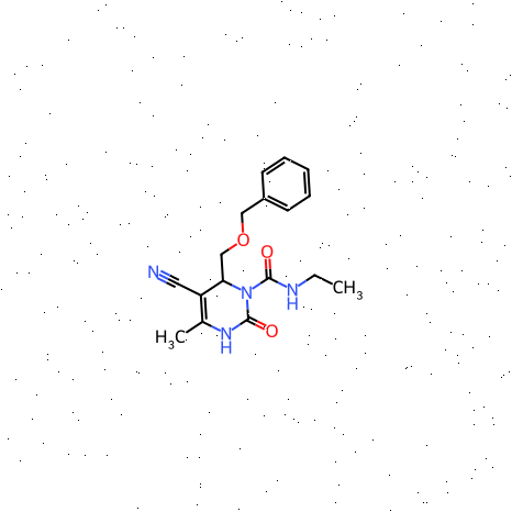 CCNC(=O)N1C(=O)NC(C)=C(C#N)C1COCc1ccccc1